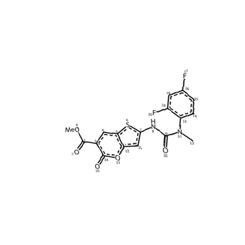 COC(=O)c1cc2sc(NC(=O)N(C)c3ccc(F)cc3F)cc2oc1=O